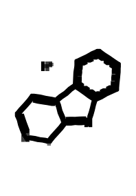 [CH]1N=CC=C2C1=Nc1ccccc12.[H+]